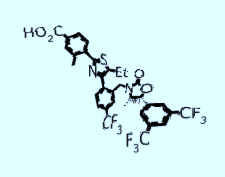 CCc1sc(-c2ccc(C(=O)O)cc2C)nc1-c1ccc(C(F)(F)F)cc1CN1C(=O)O[C@H](c2cc(C(F)(F)F)cc(C(F)(F)F)c2)[C@@H]1C